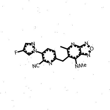 CNc1c(Cc2ccc(-n3cc(F)cn3)c(C#N)n2)c(C)nc2nonc12